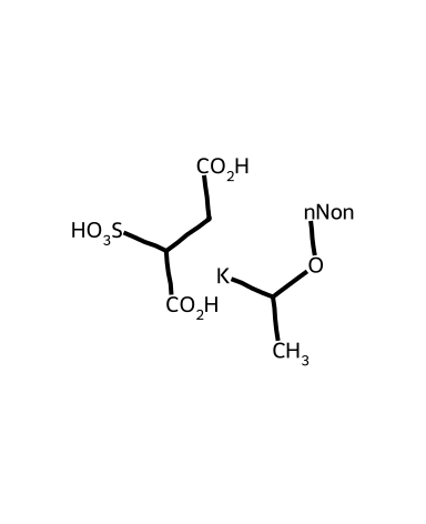 CCCCCCCCCO[CH](C)[K].O=C(O)CC(C(=O)O)S(=O)(=O)O